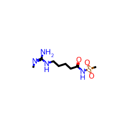 CN=C(N)NCCCCC(=O)NS(C)(=O)=O